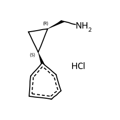 Cl.NC[C@@H]1C[C@@H]1c1ccccc1